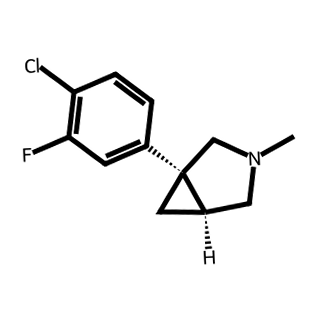 CN1C[C@H]2C[C@@]2(c2ccc(Cl)c(F)c2)C1